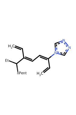 C=C/C(=C\C=C(/C=C)n1cnnc1)C(CC)CCCCC